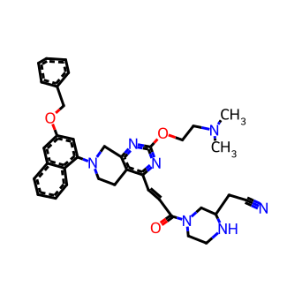 CN(C)CCOc1nc(C=CC(=O)N2CCNC(CC#N)C2)c2c(n1)CN(c1cc(OCc3ccccc3)cc3ccccc13)CC2